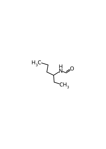 CCCC(CC)NC=O